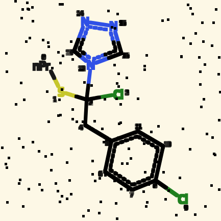 CCCSC(Cl)(Cc1ccc(Cl)cc1)n1cnnc1